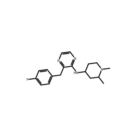 CC1CC(Nc2nccnc2Cc2ccc(F)cc2)CCN1C